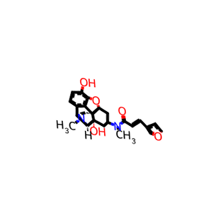 CN(C(=O)/C=C/c1ccoc1)C1CC2Oc3c(O)ccc4c3[C@@]23CCN(C)[C@H](C4)[C@]3(O)C1